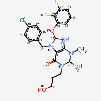 CN1C2=C(C(=O)N(CCCO)C1O)N(Cc1ccc(Cl)cc1)C(Oc1cccc(F)c1F)N2